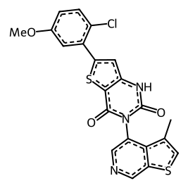 COc1ccc(Cl)c(-c2cc3[nH]c(=O)n(-c4cncc5scc(C)c45)c(=O)c3s2)c1